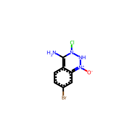 NC1=c2ccc(Br)cc2=[N+]([O-])NN1Cl